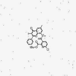 Cc1cc([C@@H](C)Nc2ccc(Cl)nc2C(=O)OC(C)(C)C)c2oc(-c3ccccc3)c(I)c(=O)c2c1